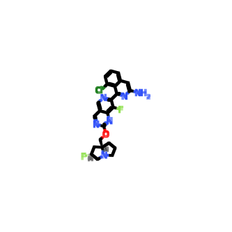 Nc1cc2cccc(Cl)c2c(-c2ncc3cnc(OC[C@@]45CCCN4C[C@H](F)C5)nc3c2F)n1